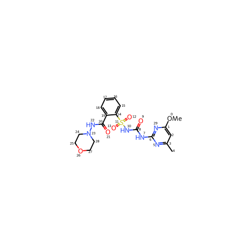 COc1cc(C)nc(NC(=O)NS(=O)(=O)c2ccccc2C(=O)NN2CCOCC2)n1